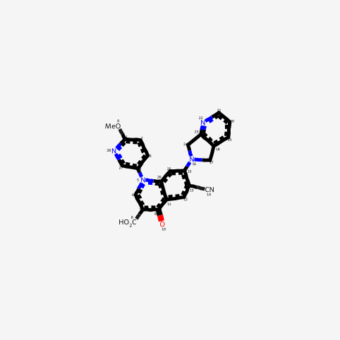 COc1ccc(-n2cc(C(=O)O)c(=O)c3cc(C#N)c(N4Cc5cccnc5C4)cc32)cn1